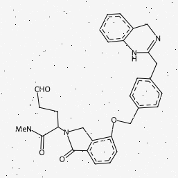 CNC(=O)C(CCC=O)N1Cc2c(OCc3ccc(CC4=NCc5ccccc5N4)cc3)cccc2C1=O